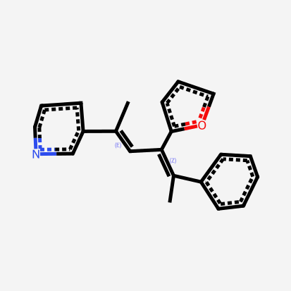 C/C(=C(\C=C(/C)c1cccnc1)c1ccco1)c1ccccc1